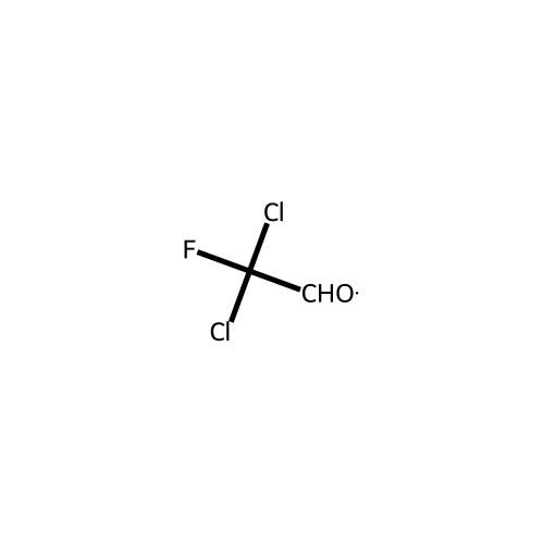 O=[C]C(F)(Cl)Cl